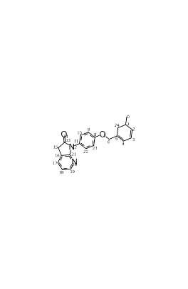 CC1C=CC=C(COc2ccc(N3C(=O)Cc4cccnc43)cc2)C1